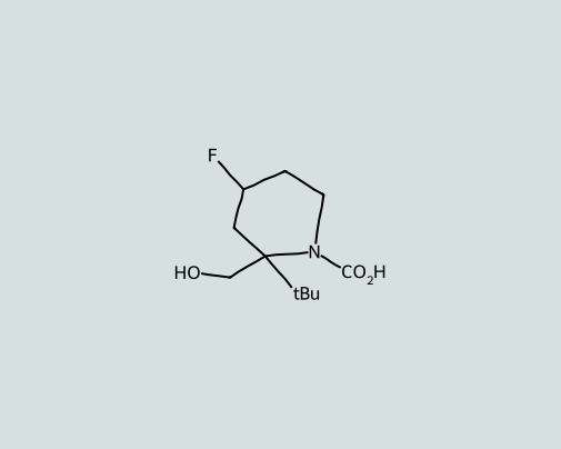 CC(C)(C)C1(CO)CC(F)CCN1C(=O)O